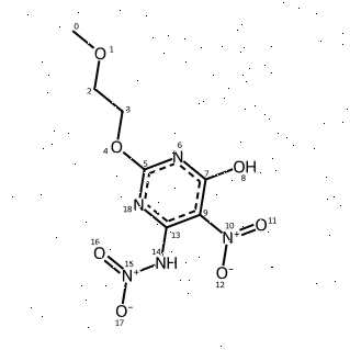 COCCOc1nc(O)c([N+](=O)[O-])c(N[N+](=O)[O-])n1